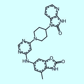 Cc1cc(Nc2cc(N3CCC(n4c(=O)[nH]c5ncccc54)CC3)ncn2)cc2oc(=O)[nH]c12